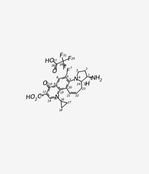 N[C@@H]1CCN2c3c(F)cc4c(=O)c(C(=O)O)cn(C5CC5)c4c3C=CC[C@H]12.O=C(O)C(F)(F)F